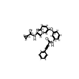 O=C(C#Cc1ccccc1)Nc1cccc(Oc2ccc3nc(NC(=O)C4CC4)cn3c2)c1